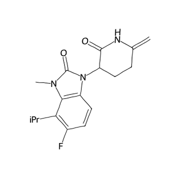 C=C1CCC(n2c(=O)n(C)c3c(C(C)C)c(F)ccc32)C(=O)N1